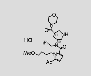 COCCCCn1c(C(C)=O)ccc1C(=O)N(CC(C)C)[C@@H]1CNC[C@H](C(=O)N2CCOCC2)C1.Cl